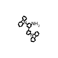 Nc1cc(-c2cccc(-n3c4ccccc4c4ccccc43)c2)cc(-n2c3ccccc3c3ccccc32)c1